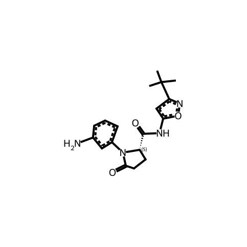 CC(C)(C)c1cc(NC(=O)[C@@H]2CCC(=O)N2c2cccc(N)c2)on1